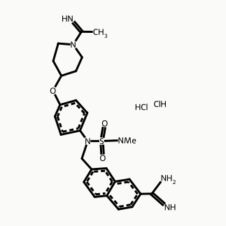 CNS(=O)(=O)N(Cc1ccc2ccc(C(=N)N)cc2c1)c1ccc(OC2CCN(C(C)=N)CC2)cc1.Cl.Cl